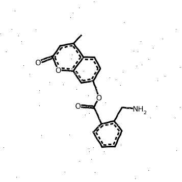 Cc1cc(=O)oc2cc(OC(=O)c3ccccc3CN)ccc12